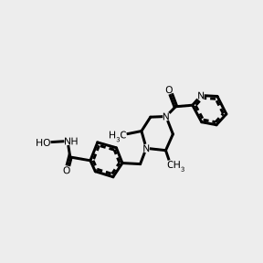 CC1CN(C(=O)c2ccccn2)CC(C)N1Cc1ccc(C(=O)NO)cc1